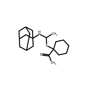 CC(=O)C1(SC(C)NC23CC4CC(CC(C4)C2)C3)CCCCC1